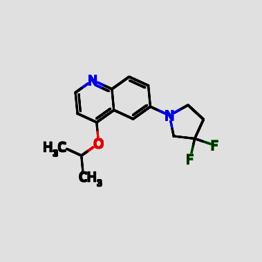 CC(C)Oc1ccnc2ccc(N3CCC(F)(F)C3)cc12